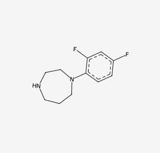 Fc1ccc(N2CCCNCC2)c(F)c1